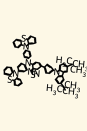 CC(C)(C)c1ccc2c(c1)c1cc(C(C)(C)C)ccc1n2-c1ccc(-c2ccc(N(c3ccc(N4c5ccccc5Sc5ccccc54)cc3)c3ccc(N4c5ccccc5Sc5ccccc54)cc3)c3nsnc23)cc1